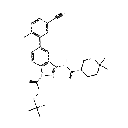 CC(C)(C)COC(=O)n1nc(NC(=O)[C@@H]2CCC(C)(C)NC2)c2cc(-c3cc(C#N)ccc3Cl)ccc21